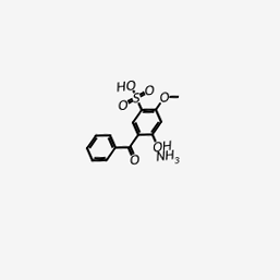 COc1cc(O)c(C(=O)c2ccccc2)cc1S(=O)(=O)O.N